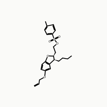 C=CCOc1ccc2c(c1)[C@H](CCCC)[C@H](CCOS(=O)(=O)c1ccc(C)cc1)O2